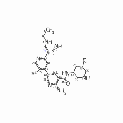 N=C/C(=C\NCC(F)(F)F)c1cc(-c2cnc(N)c(C(=O)NC3CNCC(F)C3)n2)c(F)cn1